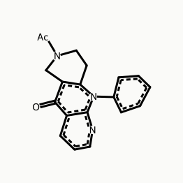 CC(=O)N1CCc2c(c(=O)c3cccnc3n2-c2ccccc2)C1